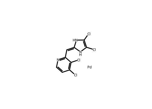 ClC1=C(Cl)NC(=Cc2nccc(Cl)c2Cl)N1.[Pd]